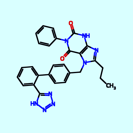 CCCc1nc2[nH]c(=O)n(-c3ccccc3)c(=O)c2n1Cc1ccc(-c2ccccc2-c2nnn[nH]2)cc1